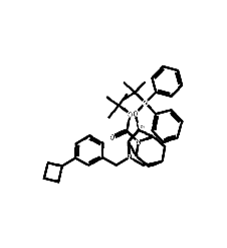 CC(C)(C)OC(=O)N1C2CC3CC1[C@H](O[Si](c1ccccc1)(c1ccccc1)C(C)(C)C)C2N(Cc1cccc(C2CCC2)c1)C3